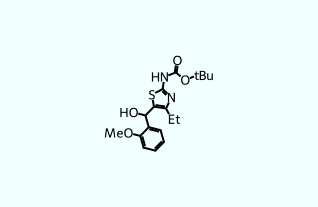 CCc1nc(NC(=O)OC(C)(C)C)sc1C(O)c1ccccc1OC